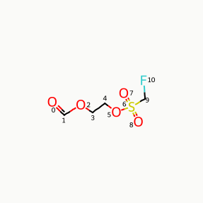 O=COCCOS(=O)(=O)CF